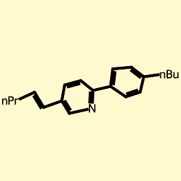 CCCC=Cc1ccc(-c2ccc(CCCC)cc2)nc1